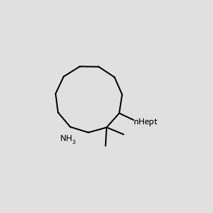 CCCCCCCC1CCCCCCCCCC1(C)C.N